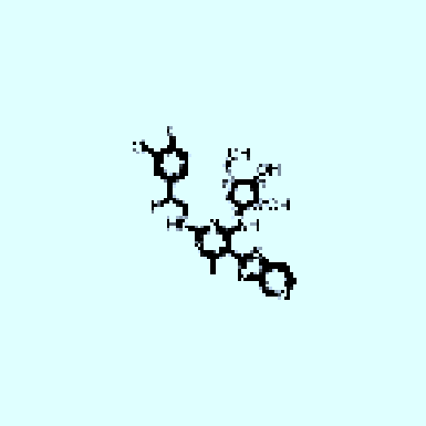 Cc1nc(NCC(F)c2ccc(Cl)c(Cl)c2)nc(N[C@@H]2C[C@H](CO)[C@@H](O)[C@H]2O)c1-c1nc2cnccc2s1